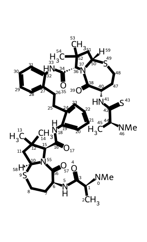 CN[C@@H](C)C(=O)N[C@H]1CCS[C@H]2CC(C)(C)[C@@H](C(=O)Nc3ccccc3CCc3ccccc3NC(=O)[C@H]3N4C(=O)[C@@H](NC(=S)[C@H](C)NC)CCS[C@H]4CC3(C)C)N2C1=O